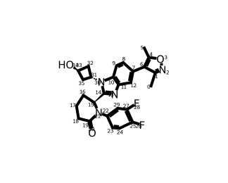 Cc1noc(C)c1-c1ccc2c(c1)nc([C@@H]1CCCC(=O)N1c1ccc(F)c(F)c1)n2[C@H]1C[C@H](O)C1